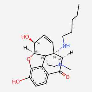 CCCCCN[C@@]12C=C[C@H](O)[C@@H]3Oc4c(O)ccc5c4[C@@]31CCN(C)[C@@H]2C5=O